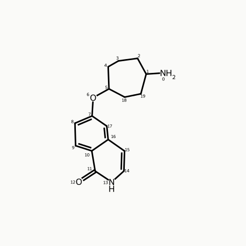 NC1CCCC(Oc2ccc3c(=O)[nH]ccc3c2)CC1